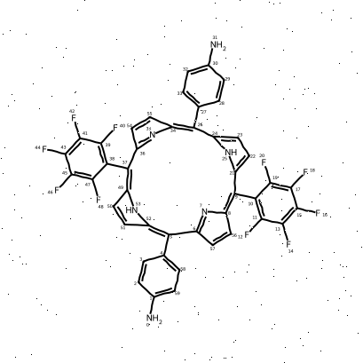 Nc1ccc(-c2c3nc(c(-c4c(F)c(F)c(F)c(F)c4F)c4ccc([nH]4)c(-c4ccc(N)cc4)c4nc(c(-c5c(F)c(F)c(F)c(F)c5F)c5ccc2[nH]5)C=C4)C=C3)cc1